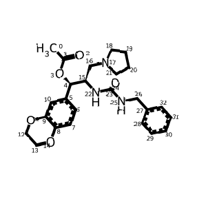 CC(=O)O[C@H](c1ccc2c(c1)OCCO2)[C@@H](CN1CCCC1)NC(=O)NCc1ccccc1